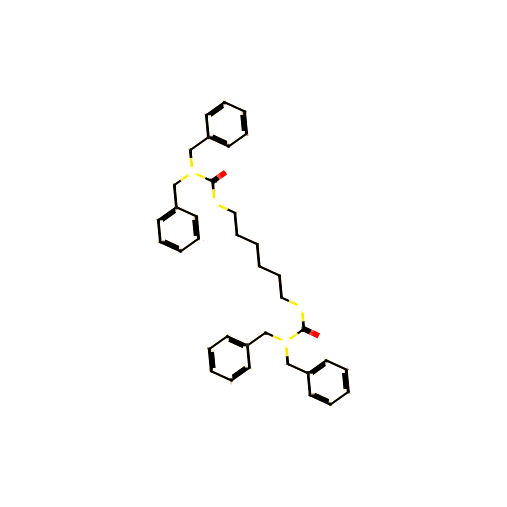 O=C(SCCCCCCSC(=O)[SH](Cc1ccccc1)Cc1ccccc1)[SH](Cc1ccccc1)Cc1ccccc1